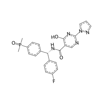 CP(C)(=O)c1ccc([C@H](NC(=O)c2cnc(-n3cccn3)nc2O)c2ccc(F)cc2)cc1